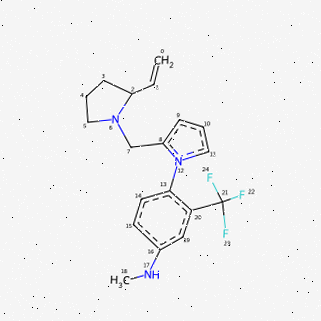 C=CC1CCCN1Cc1cccn1-c1ccc(NC)cc1C(F)(F)F